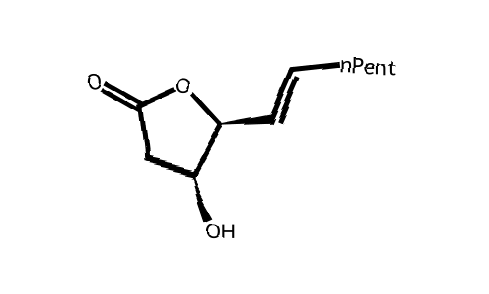 CCCCCC=C[C@@H]1OC(=O)C[C@@H]1O